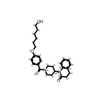 O=C(c1ccc(OCCCCCCO)cc1)N1CCC(N2C(=O)CCc3ccccc32)CC1